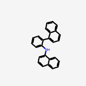 c1ccc(-c2cccc3ccccc23)c(Nc2cccc3ccccc23)c1